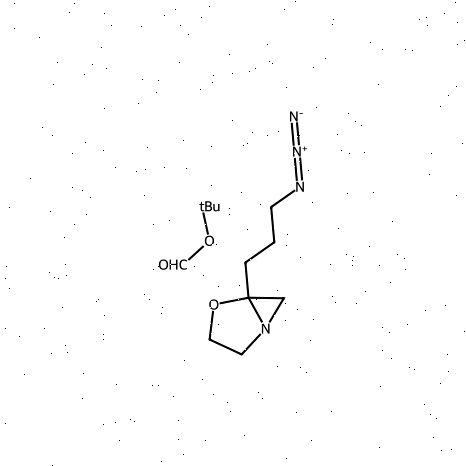 CC(C)(C)OC=O.[N-]=[N+]=NCCCC12CN1CCO2